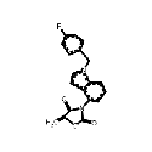 C=C1SC(=O)N(c2cccc3c2ccn3Cc2ccc(F)cc2)C1=O